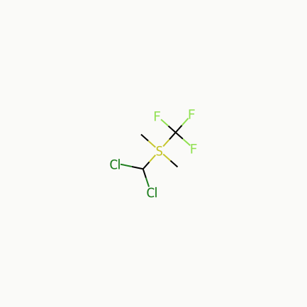 CS(C)(C(Cl)Cl)C(F)(F)F